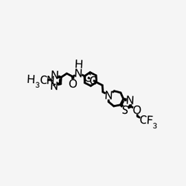 Cn1ncc(CC(=O)NC23CCC(CCN4CCc5nc(OCC(F)(F)F)sc5CC4)(CC2)CC3)n1